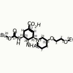 CCOCCO[C@H]1CCCN([C@@H]2C=C(C(=O)O)C[C@H](NC(=O)OC(C)(C)C)[C@H]2NC(C)=O)C1